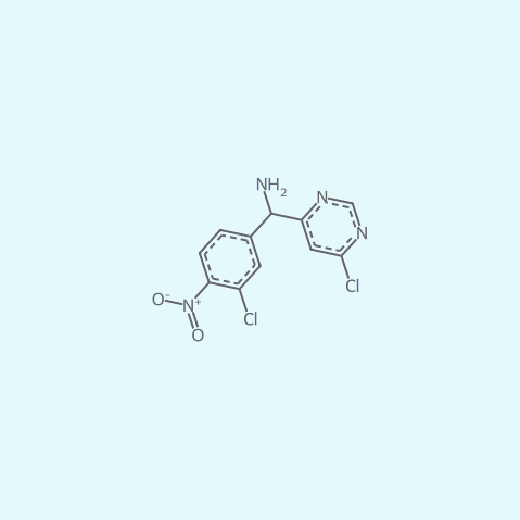 NC(c1ccc([N+](=O)[O-])c(Cl)c1)c1cc(Cl)ncn1